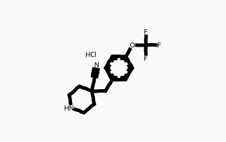 Cl.N#CC1(Cc2ccc(OC(F)(F)F)cc2)CCNCC1